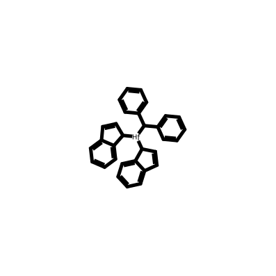 C1=C[CH]([Hf]([CH]2C=Cc3ccccc32)[CH](c2ccccc2)c2ccccc2)c2ccccc21